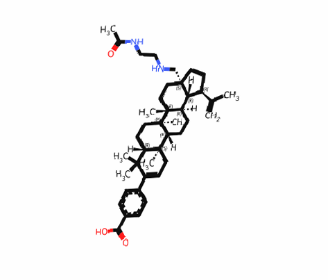 C=C(C)[C@@H]1CC[C@]2(CNCCNC(C)=O)CC[C@]3(C)[C@H](CC[C@@H]4[C@@]5(C)CC=C(c6ccc(C(=O)O)cc6)C(C)(C)[C@@H]5CC[C@]43C)[C@@H]12